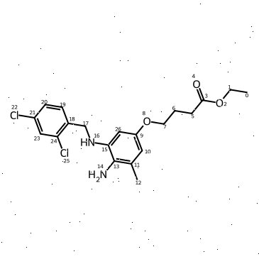 CCOC(=O)CCCOc1cc(C)c(N)c(NCc2ccc(Cl)cc2Cl)c1